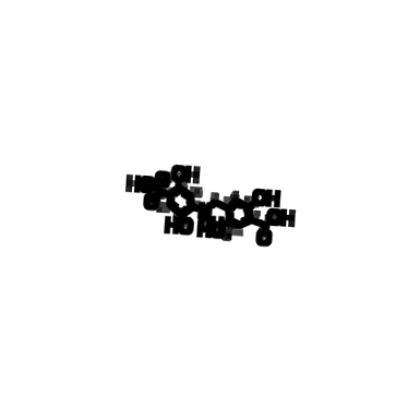 CN(Cc1cc(O)c(C(=O)O)cc1O)c1cc(O)c(S(=O)(=O)O)cc1O